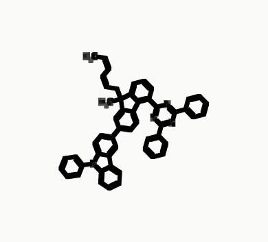 C/C=C\C=C/CC1(C)c2cc(-c3ccc4c(c3)c3ccccc3n4-c3ccccc3)ccc2-c2c(-c3nc(-c4ccccc4)nc(-c4ccccc4)n3)cccc21